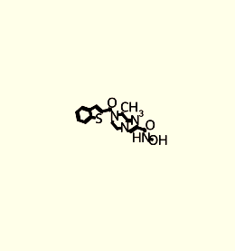 CC1c2nc(C(=O)NO)cn2CCN1C(=O)c1cc2ccccc2s1